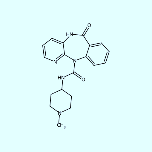 CN1CCC(NC(=O)N2c3ccccc3C(=O)Nc3cccnc32)CC1